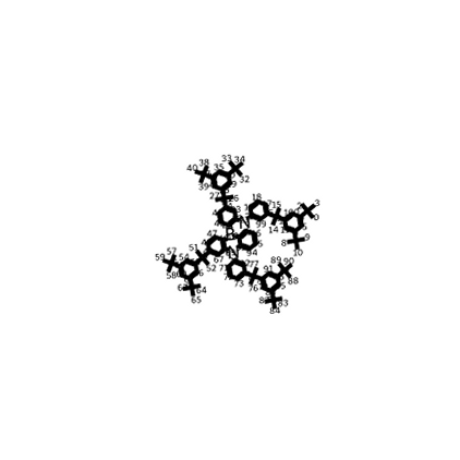 CC(C)(C)c1cc(C(C)(C)C)cc(C(C)(C)c2cccc(N3c4cc(C(C)(C)c5cc(C(C)(C)C)cc(C(C)(C)C)c5)ccc4B4c5ccc(C(C)(C)c6cc(C(C)(C)C)cc(C(C)(C)C)c6)cc5N(c5cccc(C(C)(C)c6cc(C(C)(C)C)cc(C(C)(C)C)c6)c5)c5cccc3c54)c2)c1